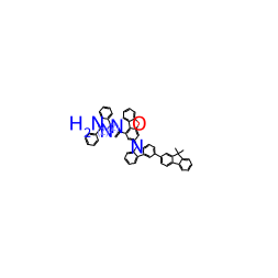 C=C(/N=C(\N=C(/N)c1ccccc1)c1ccccc1)c1cc(-n2c3ccccc3c3cc(-c4ccc5c(c4)C(C)(C)c4ccccc4-5)ccc32)cc2oc3ccccc3c12